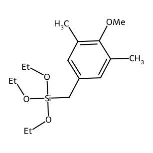 CCO[Si](Cc1cc(C)c(OC)c(C)c1)(OCC)OCC